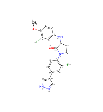 COc1ccc(NC2CCN(c3ccc(-c4cn[nH]c4)cc3F)C2=O)cc1F